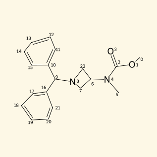 COC(=O)N(C)C1CN(C(c2ccccc2)c2ccccc2)C1